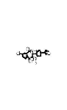 CN1C(=O)C(c2ccc(-c3ccoc3)cc2)NC(=O)c2cc(Cl)ccc21